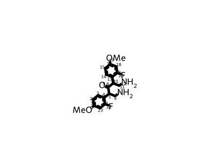 COc1ccc(C(CN)C(=O)C(CN)c2ccc(OC)cc2F)c(F)c1